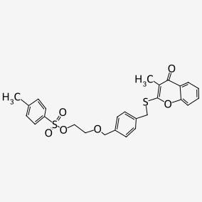 Cc1ccc(S(=O)(=O)OCCOCc2ccc(CSc3oc4ccccc4c(=O)c3C)cc2)cc1